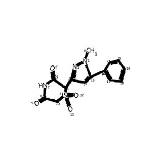 Cn1nc(C2C(=O)NC(=O)CS2(=O)=O)cc1-c1ccccc1